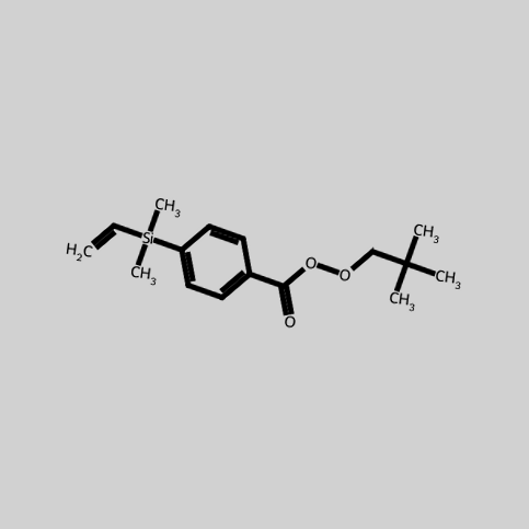 C=C[Si](C)(C)c1ccc(C(=O)OO[CH]C(C)(C)C)cc1